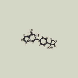 O=c1[nH]c(-c2ccc(C3(O)COC3)cc2)cn2cccc12